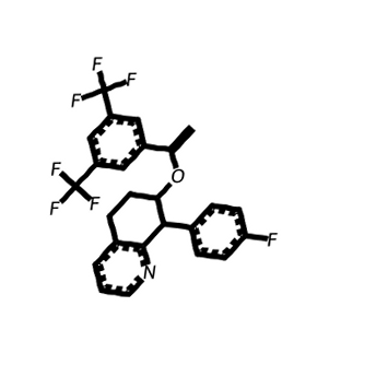 C=C(OC1CCc2cccnc2C1c1ccc(F)cc1)c1cc(C(F)(F)F)cc(C(F)(F)F)c1